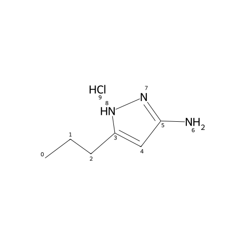 CCCc1cc(N)n[nH]1.Cl